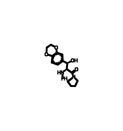 O=C([C@@H](NP)[C@H](O)c1ccc2c(c1)OCCO2)N1CCCC1